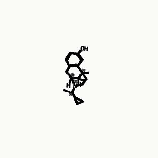 C[C@H](C1CC1)N1CC[C@@]2(C)c3cc(O)ccc3C[C@@H]1[C@@H]2C